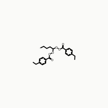 [CH2]CCC[C](OOC(=O)c1ccc(CC)cc1)OOC(=O)c1ccc(CC)cc1